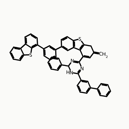 C=C1C=C(C2=NC(c3ccccc3)NC(c3cccc(-c4ccccc4)c3)=N2)c2c(sc3ccc(-c4cccc(-c5cccc6c5sc5ccccc56)c4)cc23)C1